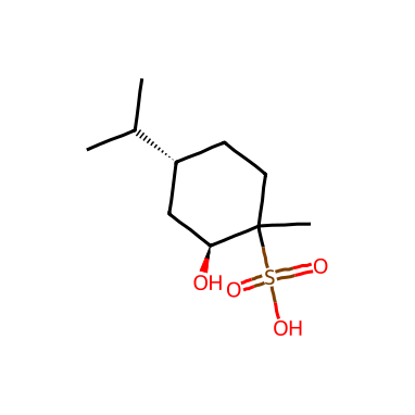 CC(C)[C@@H]1CCC(C)(S(=O)(=O)O)[C@@H](O)C1